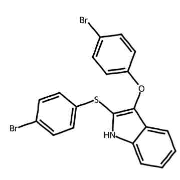 Brc1ccc(Oc2c(Sc3ccc(Br)cc3)[nH]c3ccccc23)cc1